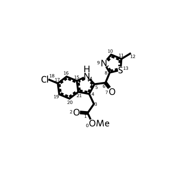 COC(=O)Cc1c(C(=O)c2ncc(C)s2)[nH]c2cc(Cl)ccc12